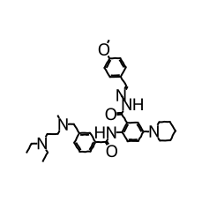 CCN(CC)CCN(C)Cc1cccc(C(=O)Nc2ccc(N3CCCCC3)cc2C(=O)N/N=C/c2ccc(OC)cc2)c1